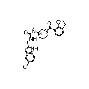 CN(C(=O)NCc1cc2cc(Cl)ccc2[nH]1)[C@@H]1CCCN(C(=O)c2cccc3c2OCC3)C1